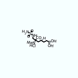 CNC(CCCCB(O)O)(CNS(N)(=O)=O)C(=O)O.Cl